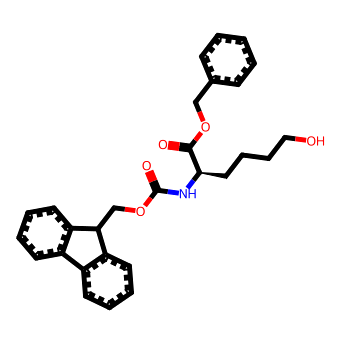 O=C(N[C@H](CCCCO)C(=O)OCc1ccccc1)OCC1c2ccccc2-c2ccccc21